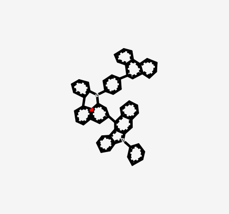 c1ccc(-c2ccccc2N(c2ccc(-c3cc4ccccc4c4ccccc34)cc2)c2cccc(-c3c4ccccc4cc4c3c3ccccc3n4-c3ccccc3)c2)cc1